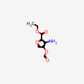 CCOC(=O)c1occ(OC=O)c1N